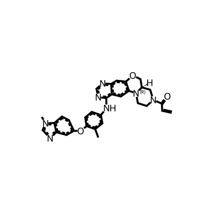 C=CC(=O)N1CCN2c3cc4c(Nc5ccc(Oc6ccc7c(c6)ncn7C)c(C)c5)ncnc4cc3OC[C@H]2C1